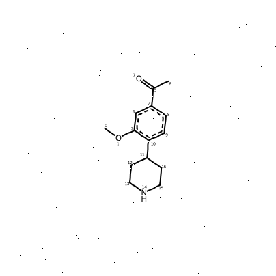 COc1cc(C(C)=O)ccc1C1CCNCC1